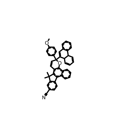 COc1ccc(C2(C3=Cc4ccccc4C4C=CC=CC34)C=Cc3c4c(c5ccccc5c3O2)-c2ccc(C#N)cc2C4(C)C)cc1